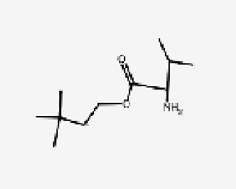 CC(C)C(N)C(=O)OC[CH]C(C)(C)C